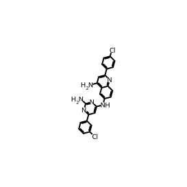 Nc1nc(Nc2ccc3nc(-c4ccc(Cl)cc4)cc(N)c3c2)cc(-c2cccc(Cl)c2)n1